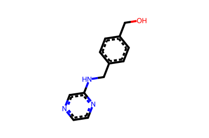 OCc1ccc(CNc2cnccn2)cc1